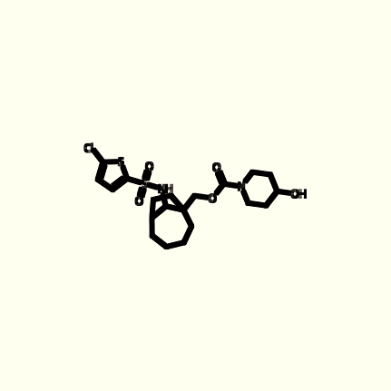 O=C(OCC12CCCCC(CC1)C2NS(=O)(=O)c1ccc(Cl)s1)N1CCC(O)CC1